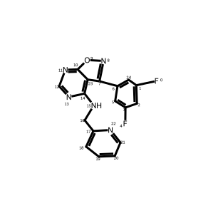 Fc1cc(F)cc(-c2noc3ncnc(NCc4ccccn4)c23)c1